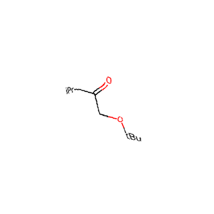 CC(C)C(=O)COC(C)(C)C